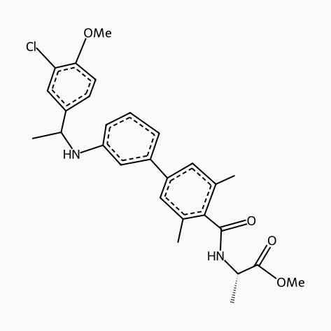 COC(=O)[C@H](C)NC(=O)c1c(C)cc(-c2cccc(NC(C)c3ccc(OC)c(Cl)c3)c2)cc1C